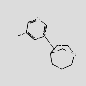 FC(F)(F)c1cncc(N2CCN3CCCC2CC3)c1